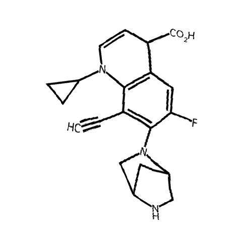 C#Cc1c2c(cc(F)c1N1CC3CC1CN3)C(C(=O)O)C=CN2C1CC1